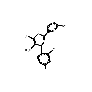 CCOC(=O)C1=C(C)NC(c2csc(C)n2)=NC1c1ccc(F)cc1Cl